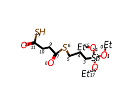 CCO[Si](CCCSC(=O)CCC(=O)S)(OCC)OCC